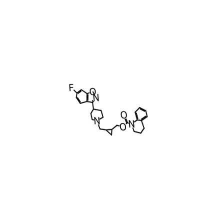 O=C(OCC1CC1CN1CCC(c2noc3cc(F)ccc23)CC1)N1CCCc2ccccc21